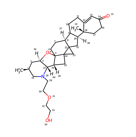 C[C@H]1C[C@H]2OC34CC[C@H]5C6CCC7=CC(=O)CC[C@]7(C)[C@H]6CC56CC63C[C@@H]4[C@@H]2N(CCOCCO)C1